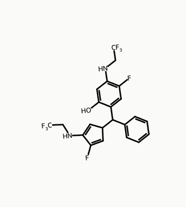 Oc1cc(NCC(F)(F)F)c(F)cc1C(c1ccccc1)C1C=C(F)C(NCC(F)(F)F)=C1